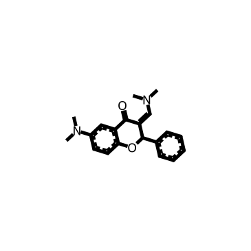 CN(C)C=C1C(=O)c2cc(N(C)C)ccc2OC1c1ccccc1